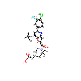 CC(C)(C)c1cc(-c2ccc(Cl)c(F)c2)nc2cc(C(=O)N3CCC(CC(=O)O)CC3(C)C)oc12